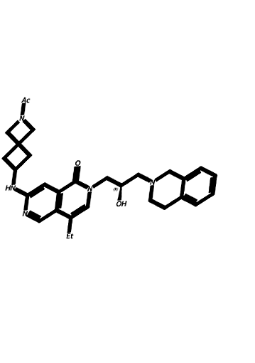 CCc1cn(C[C@H](O)CN2CCc3ccccc3C2)c(=O)c2cc(NC3CC4(C3)CN(C(C)=O)C4)ncc12